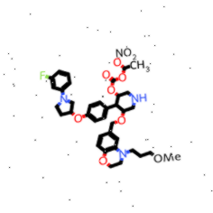 COCCCN1CCOc2ccc(COC3CNCC(OC(=O)OC(C)O[N+](=O)[O-])C3c3ccc(OC4CCN(c5cccc(F)c5)C4)cc3)cc21